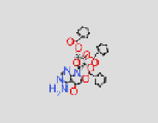 Nc1ncnc2c1c(=O)ccn2[C@@H]1O[C@H](COC(=O)c2ccccc2)[C@@H](OC(=O)c2ccccc2)[C@H]1OC(=O)c1ccccc1